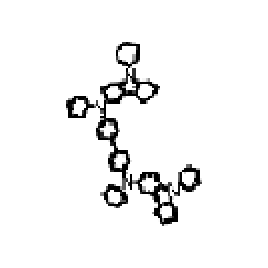 C1=CC(n2c3c(c4cc(N(c5ccccc5)c5ccc(-c6ccc(N(c7ccccc7)c7ccc8c(c7)c7ccccc7n8-c7ccccc7)cc6)cc5)ccc42)CCC=C3)=CCC1